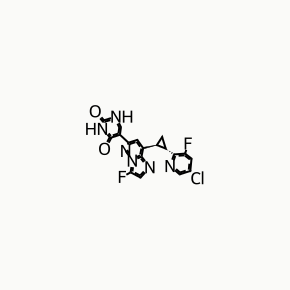 O=c1[nH]cc(-c2cc([C@H]3C[C@@H]3c3ncc(Cl)cc3F)c3ncc(F)n3n2)c(=O)[nH]1